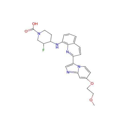 COCCOc1ccn2c(-c3ccc4cccc(NC5CCN(C(=O)O)CC5F)c4n3)cnc2c1